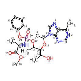 Cc1ncnc2c1ncn2C(C)O[C@@H](C(C)O)C(C)OP(=O)(NC(C)C(=O)OC(C)C)Oc1ccccc1